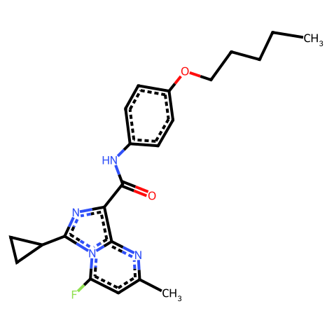 CCCCCOc1ccc(NC(=O)c2nc(C3CC3)n3c(F)cc(C)nc23)cc1